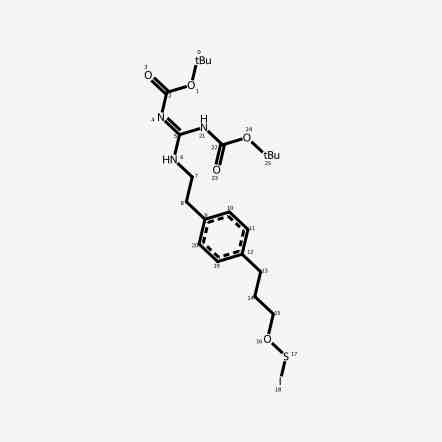 CC(C)(C)OC(=O)N=C(NCCc1ccc(CCCOSI)cc1)NC(=O)OC(C)(C)C